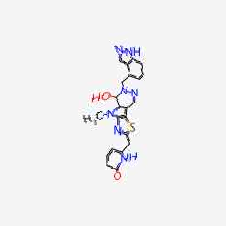 Cn1c2c(c3sc(Cc4cccc(=O)[nH]4)nc31)C=NN(Cc1cccc3[nH]ncc13)C2O